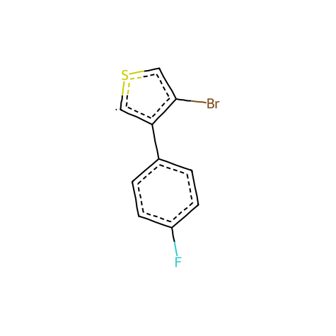 Fc1ccc(-c2[c]scc2Br)cc1